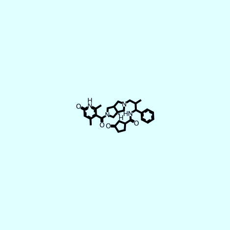 Cc1cc(=O)[nH]c(C)c1C(=O)N1CC2CN(CC(C)C(NC(=O)C3CCC(=O)C3)c3ccccc3)C[C@H]2C1